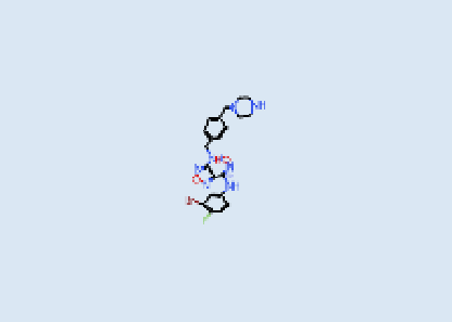 O/N=C(/Nc1ccc(F)c(Br)c1)c1nonc1NCc1ccc(CN2CCNCC2)cc1